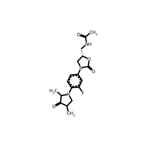 CC(=O)NC[C@H]1CN(c2ccc(N3CC(C)C(=O)C3C)c(F)c2)C(=O)O1